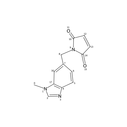 Cn1cnc2ccc(CN3C(=O)C=CC3=O)cc21